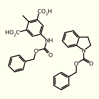 Cc1c(C(=O)O)cc(NC(=O)OCc2ccccc2)cc1C(=O)O.O=C(OCc1ccccc1)N1CCc2ccccc21